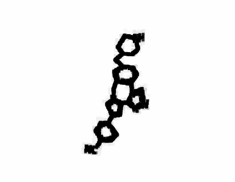 N#Cc1ccc(-c2cc3n(c2)Cc2cc(CC4CCNCC4)ccc2-n2cnnc2-3)cc1